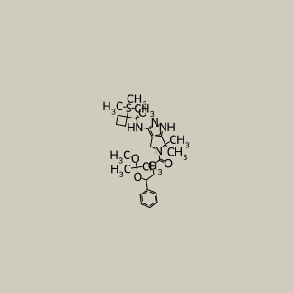 COC(C)(C)OC(COC(=O)N1Cc2c(NC(=O)C3(S(C)(C)C)CCC3)n[nH]c2C1(C)C)c1ccccc1